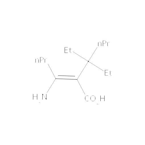 CCC/C(N)=C(/C(=O)O)C(CC)(CC)CCC